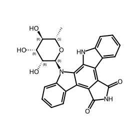 C[C@@H]1O[C@@H](n2c3ccccc3c3c4c(c5c6ccccc6[nH]c5c32)C(=O)NC4=O)[C@H](O)[C@H](O)[C@H]1O